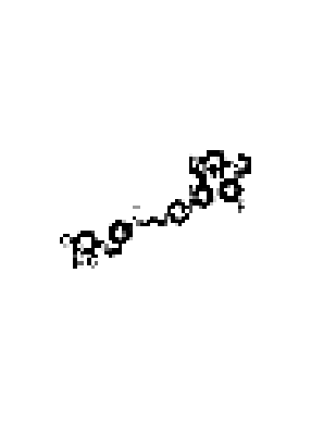 O=C1CCC(n2ccc3cc(NCCCN4CCN(c5cccc(-c6cnc7ccc(N8CCC[C@@H]8c8cccc(F)c8)nn67)n5)CC4)ccc32)C(=O)N1